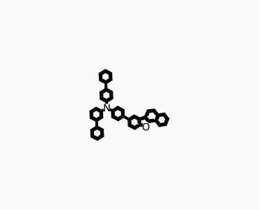 c1ccc(-c2ccc(N(c3ccc(-c4ccc5oc6c7ccccc7ccc6c5c4)cc3)c3cccc(-c4ccccc4)c3)cc2)cc1